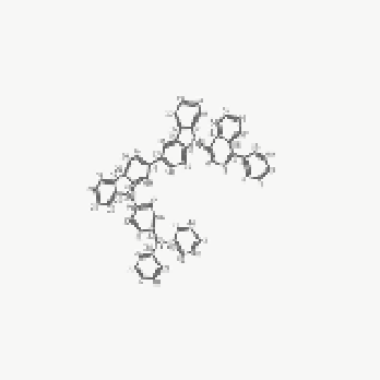 c1ccc(-c2ccc(-n3c4ccccc4c4cc(-c5ccc6c7ccccc7n(-c7ccc(N(c8ccccc8)c8ccccc8)cc7)c6c5)ccc43)c3ccccc23)cc1